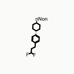 CCCCCCCCC[C@H]1CC[C@H](c2ccc(CCC(F)F)cc2)CC1